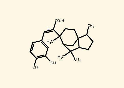 CC1CCC2C(C)(C)C3CC12CCC3(C)/C(=C\c1ccc(O)c(O)c1)C(=O)O